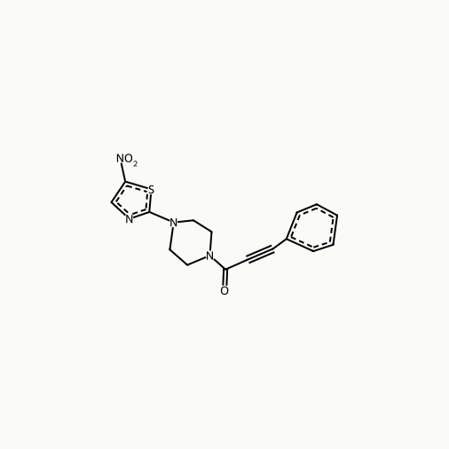 O=C(C#Cc1ccccc1)N1CCN(c2ncc([N+](=O)[O-])s2)CC1